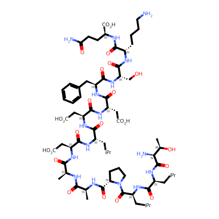 CC(C)C[C@H](NC(=O)[C@H](CC(=O)O)NC(=O)[C@H](C)NC(=O)[C@H](C)NC(=O)[C@@H]1CCCN1C(=O)[C@H](CC(C)C)NC(=O)[C@H](CC(C)C)NC(=O)[C@@H](N)[C@@H](C)O)C(=O)N[C@@H](CC(=O)O)C(=O)N[C@@H](CC(=O)O)C(=O)N[C@@H](Cc1ccccc1)C(=O)N[C@@H](CO)C(=O)N[C@@H](CCCCN)C(=O)N[C@@H](CCC(N)=O)C(=O)O